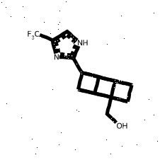 OCC12C3C4C1C1C2C3C41c1nc(C(F)(F)F)c[nH]1